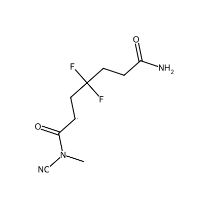 CN(C#N)C(=O)[CH]CC(F)(F)CCC(N)=O